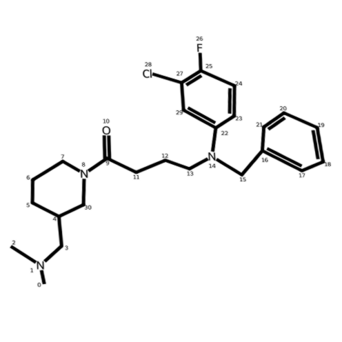 CN(C)CC1CCCN(C(=O)CCCN(Cc2ccccc2)c2ccc(F)c(Cl)c2)C1